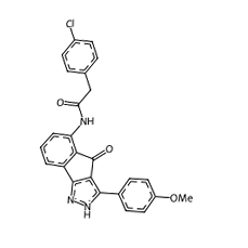 COc1ccc(-c2[nH]nc3c2C(=O)c2c(NC(=O)Cc4ccc(Cl)cc4)cccc2-3)cc1